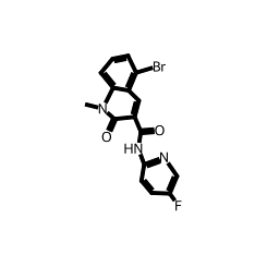 Cn1c(=O)c(C(=O)Nc2ccc(F)cn2)cc2c(Br)cccc21